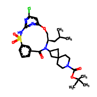 CC(C)C[C@@H]1COc2cc(Cl)nc(n2)NS(=O)(=O)c2cccc(c2)C(=O)N1C1CC2(CCN(C(=O)OC(C)(C)C)CC2)C1